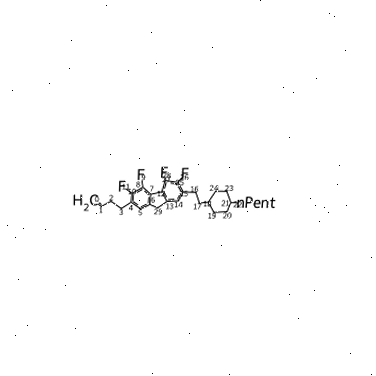 C=CCCc1cc2c(c(F)c1F)-c1c(cc(CCC3CCC(CCCCC)CC3)c(F)c1F)C2